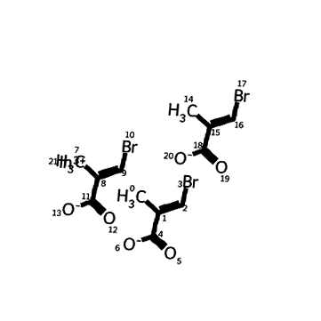 C/C(=C\Br)C(=O)[O-].C/C(=C\Br)C(=O)[O-].C/C(=C\Br)C(=O)[O-].[In+3]